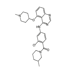 CC1CCCN(C(=O)c2ccc(Nc3ncnc4cccc(OC5CCN(C)CC5)c34)cc2Cl)C1